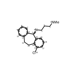 CNCCC/N=C1/c2ccccc2CCc2c(Cl)cccc21